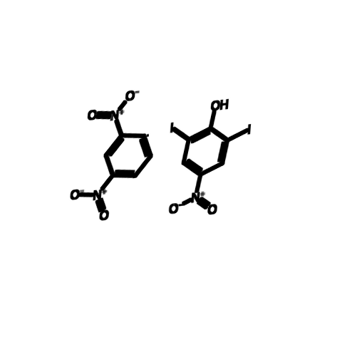 O=[N+]([O-])c1[c]ccc([N+](=O)[O-])c1.O=[N+]([O-])c1cc(I)c(O)c(I)c1